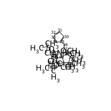 CC(C)(C)OC(=O)N[C@@]1(C(=O)OC(C)(C)C)C(C)(C)C(C)(C)C(C)(C)[C@]1(C)OCc1ccccc1